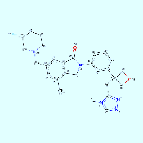 Cn1cnnc1CC1(c2cccc(N3Cc4c(cc(CN5CCC[C@@H](F)C5)cc4C(F)(F)F)C3=O)c2)COC1